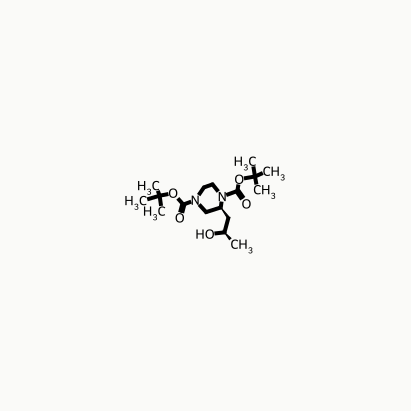 C[C@@H](O)C[C@H]1CN(C(=O)OC(C)(C)C)CCN1C(=O)OC(C)(C)C